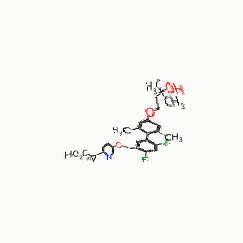 Cc1cc(OCCC(C)(C)O)cc(C)c1-c1cc(COc2ccc(C3C[C@H]3C(=O)O)nc2)c(F)cc1F